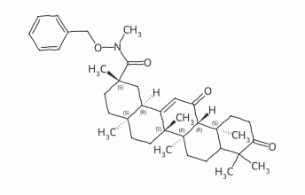 CN(OCc1ccccc1)C(=O)[C@@]1(C)CC[C@]2(C)CC[C@]3(C)C(=CC(=O)[C@@H]4[C@@]5(C)CCC(=O)C(C)(C)C5CC[C@]43C)[C@@H]2C1